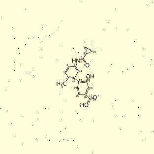 Cc1ccc(NC(=O)C2CC2)cc1-c1ccc(C(=O)O)cc1O